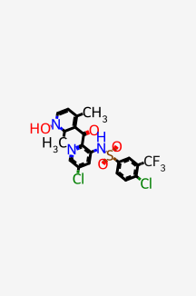 CC1=C(C(=O)c2ncc(Cl)cc2NS(=O)(=O)c2ccc(Cl)c(C(F)(F)F)c2)C(C)N(O)C=C1